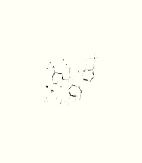 CC(=O)Nc1cc(Nc2cc(C3(C#N)CC3)cc(S(C)(=O)=O)n2)c(-c2ccc3c(n2)OCC(C)(C)O3)cn1